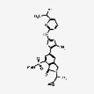 CNS(=O)(=O)c1cc(-c2sc(Nc3cccc(C(C)C(C)=O)n3)nc2C)cc2c1C(=O)N([C@@H](C)C1CC1)C2